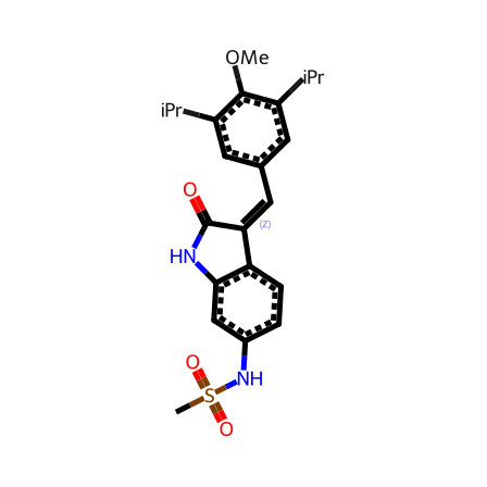 COc1c(C(C)C)cc(/C=C2\C(=O)Nc3cc(NS(C)(=O)=O)ccc32)cc1C(C)C